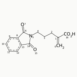 C=C(CCCN1C(=O)c2ccccc2C1=O)C(=O)O